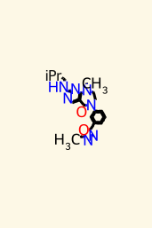 Cc1nnc(-c2cccc(N3CCN(C)c4nc(NCC(C)C)ncc4C3=O)c2)o1